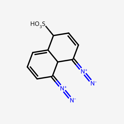 [N-]=[N+]=C1C=CC=C2C1C(=[N+]=[N-])C=CC2S(=O)(=O)O